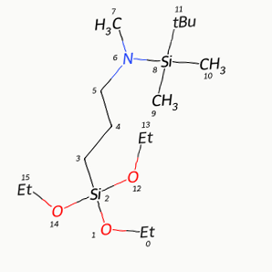 CCO[Si](CCCN(C)[Si](C)(C)C(C)(C)C)(OCC)OCC